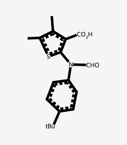 Cc1sc(N(C=O)c2ccc(C(C)(C)C)cc2)c(C(=O)O)c1C